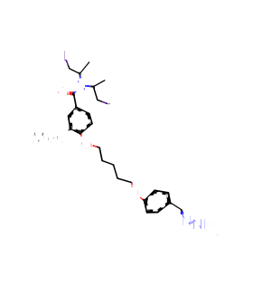 COc1cc(C(=O)N(C(C)CI)C(C)CI)ccc1OCCCCCOc1ccc(C=NN)cc1